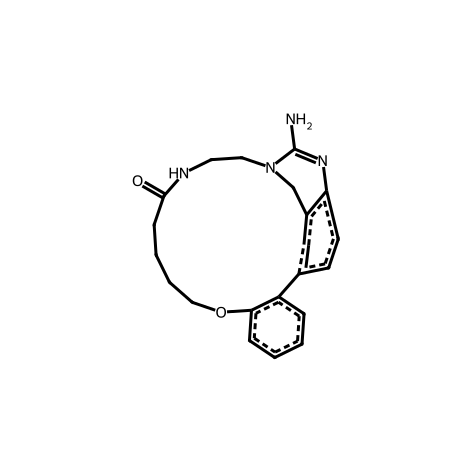 NC1=Nc2ccc3cc2CN1CCNC(=O)CCCCOc1ccccc1-3